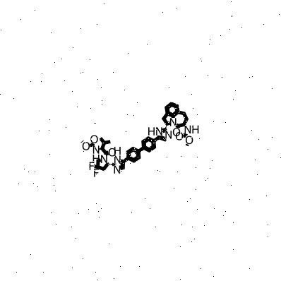 COC(=O)N[C@H]1CCc2cccc3c2N(C1=O)[C@H](c1ncc(-c2ccc(-c4ccc(-c5cnc([C@@H]6CC(F)(F)CN6C(=O)[C@@H](NC(=O)OC)C(C)C)[nH]5)cc4)cc2)[nH]1)C3